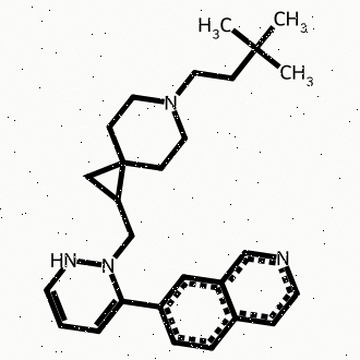 CC(C)(C)CCN1CCC2(CC1)CC2CN1NC=CC=C1c1ccc2ccncc2c1